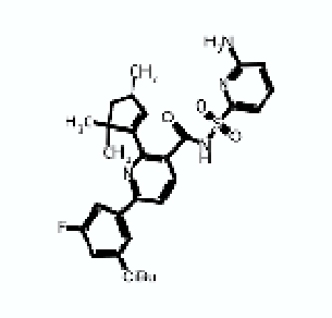 CC(C)COc1cc(F)cc(-c2ccc(C(=O)NS(=O)(=O)c3cccc(N)n3)c(C3=C[C@H](C)CC3(C)C)n2)c1